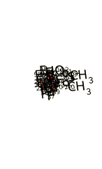 Cc1ccccc1C[S+](C)c1ccc(O)cc1.Fc1c(F)c(F)c([B-](c2ccccc2)(c2c(F)c(F)c(F)c(F)c2F)c2c(F)c(F)c(F)c(F)c2F)c(F)c1F